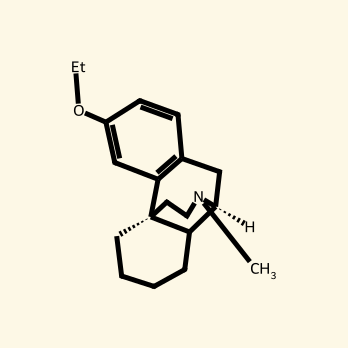 CCOc1ccc2c(c1)[C@]13CCCCC1[C@H](C2)N(C)CC3